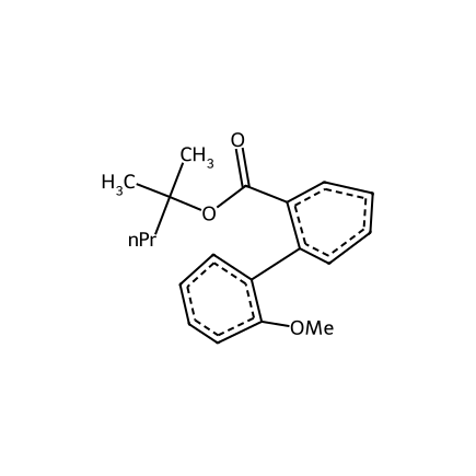 CCCC(C)(C)OC(=O)c1ccccc1-c1ccccc1OC